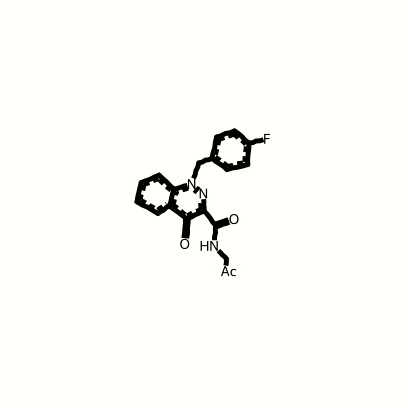 CC(=O)CNC(=O)c1nn(Cc2ccc(F)cc2)c2ccccc2c1=O